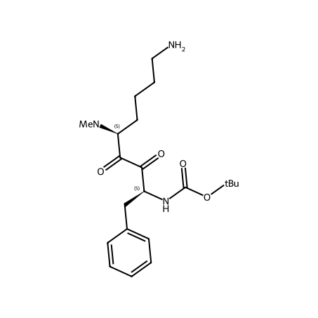 CN[C@@H](CCCCN)C(=O)C(=O)[C@H](Cc1ccccc1)NC(=O)OC(C)(C)C